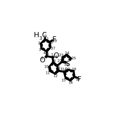 Cc1ccc(C(=O)C(=O)c2cccc(-c3ccc(F)cc3)c2-c2cccs2)cc1F